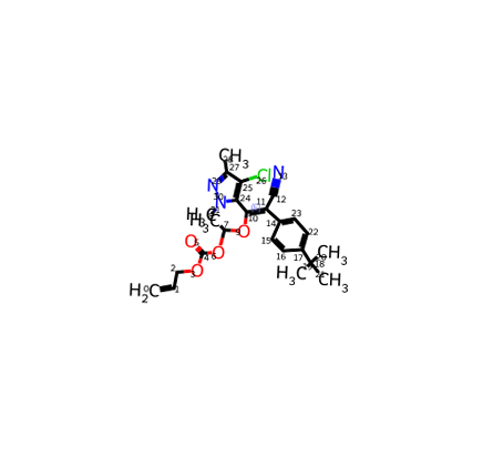 C=CCOC(=O)OC(C)O/C(=C(/C#N)c1ccc(C(C)(C)C)cc1)c1c(Cl)c(C)nn1C